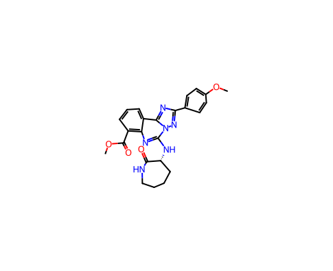 COC(=O)c1cccc2c1nc(N[C@@H]1CCCCNC1=O)n1nc(-c3ccc(OC)cc3)nc21